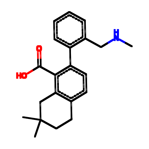 CNCc1ccccc1-c1ccc2c(c1C(=O)O)CC(C)(C)CC2